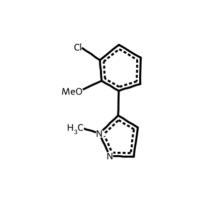 COc1c(Cl)cccc1-c1ccnn1C